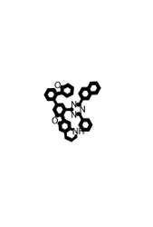 C1=Cc2cc3oc4cc(-c5cccc6oc7ccccc7c56)cc(-c5nc(-c6ccccc6)nc(-c6ccc7ccccc7c6)n5)c4c3cc2NC1